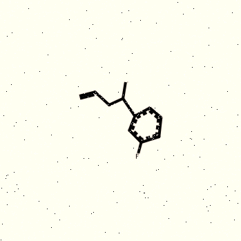 [CH2]C(CC=C)c1cccc(F)c1